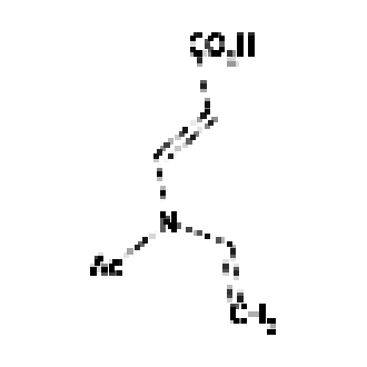 C=CN(C=CC(=O)O)C(C)=O